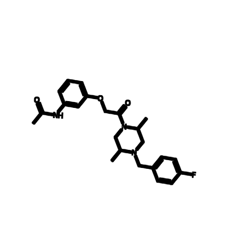 CC(=O)Nc1cccc(OCC(=O)N2CC(C)N(Cc3ccc(F)cc3)CC2C)c1